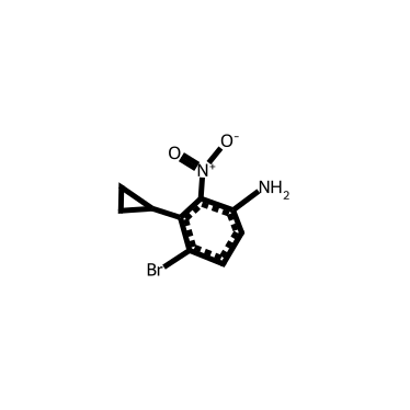 Nc1ccc(Br)c(C2CC2)c1[N+](=O)[O-]